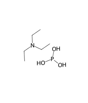 CCN(CC)CC.OP(O)O